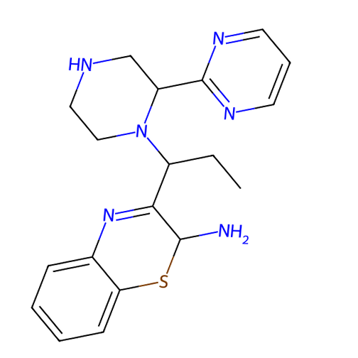 CCC(C1=Nc2ccccc2SC1N)N1CCNCC1c1ncccn1